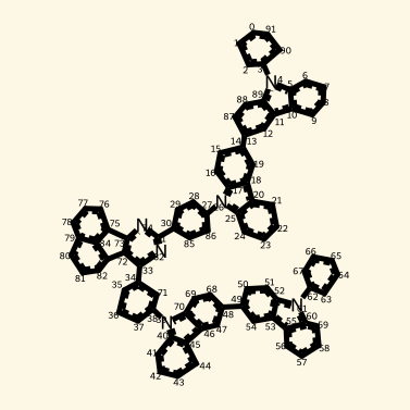 c1ccc(-n2c3ccccc3c3cc(-c4ccc5c(c4)c4ccccc4n5-c4ccc(-c5nc(-c6cccc(-n7c8ccccc8c8cc(-c9ccc%10c(c9)c9ccccc9n%10-c9ccccc9)ccc87)c6)c6c(n5)-c5cccc7cccc-6c57)cc4)ccc32)cc1